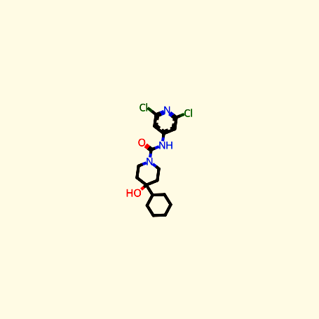 O=C(Nc1cc(Cl)nc(Cl)c1)N1CCC(O)(C2CCCCC2)CC1